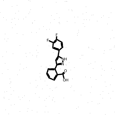 O=C(O)c1ccccc1-c1cc(-c2ccc(F)c(F)c2)[nH]n1